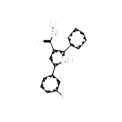 CCNC(=O)c1cc(-c2cccc(Cl)c2)[nH]c1-c1ccccc1